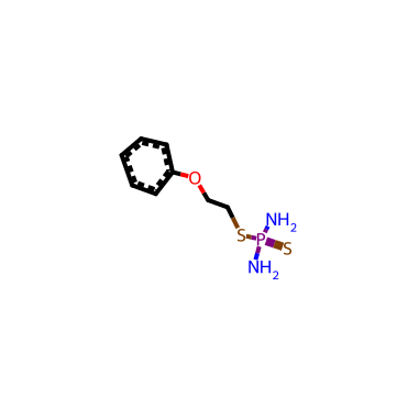 NP(N)(=S)SCCOc1ccccc1